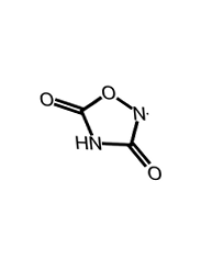 O=C1[N]OC(=O)N1